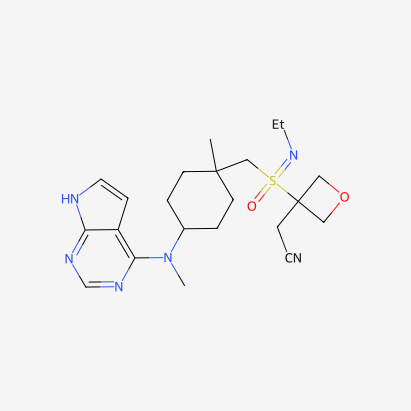 CCN=S(=O)(CC1(C)CCC(N(C)c2ncnc3[nH]ccc23)CC1)C1(CC#N)COC1